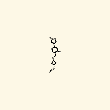 Cn1cc(-c2ccc(CO[C@H]3C[C@@H](N=C=S)C3)c(F)c2)cn1